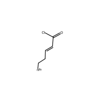 CCCCCC=CC(=O)Cl